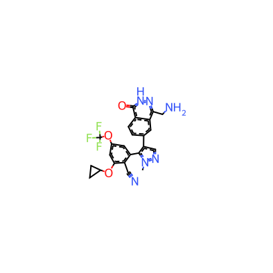 Cn1ncc(-c2ccc3c(=O)[nH]nc(CN)c3c2)c1-c1cc(OC(F)(F)F)cc(OC2CC2)c1C#N